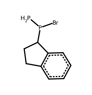 PP(Br)C1CCc2ccccc21